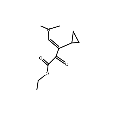 CCOC(=O)C(=O)C(=CN(C)C)C1CC1